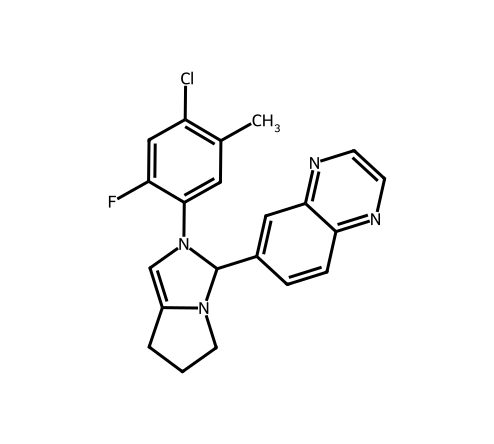 Cc1cc(N2C=C3CCCN3C2c2ccc3nccnc3c2)c(F)cc1Cl